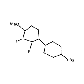 CCCCC1CCC(C2CCC(OC)C(F)C2F)CC1